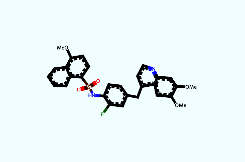 COc1cc2nccc(Cc3ccc(NS(=O)(=O)c4ccc(OC)c5ccccc45)c(F)c3)c2cc1OC